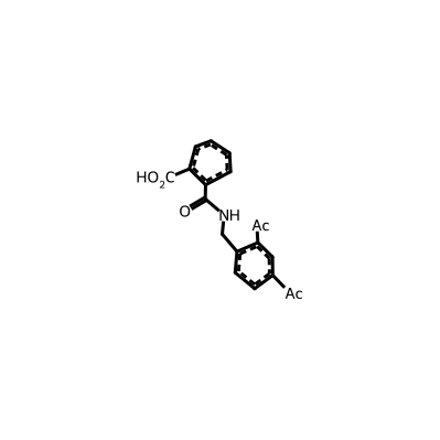 CC(=O)c1ccc(CNC(=O)c2ccccc2C(=O)O)c(C(C)=O)c1